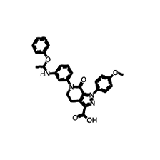 COc1ccc(-n2nc(C(=O)O)c3c2C(=O)N(c2cccc(NC(C)Oc4ccccc4)c2)CC3)cc1